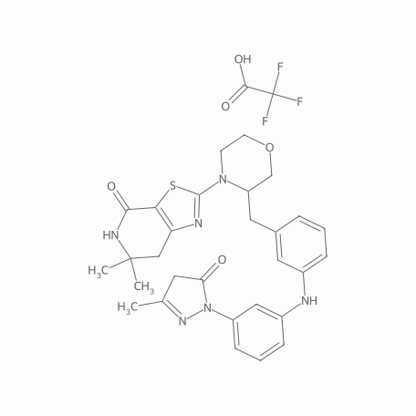 CC1=NN(c2cccc(Nc3cccc(CC4COCCN4c4nc5c(s4)C(=O)NC(C)(C)C5)c3)c2)C(=O)C1.O=C(O)C(F)(F)F